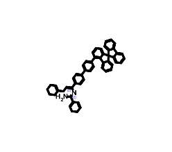 N/C(=N\C(=C/CC1=CCCCC1)c1ccc(-c2ccc(-c3cccc4c3-c3ccccc3C43c4ccccc4-c4ccccc43)cc2)cc1)C1=CCCC=C1